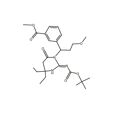 CCC1(CC)CC(=O)N(C(CCOC)c2cccc(C(=O)OC)c2)C(=NC(=O)OC(C)(C)C)N1